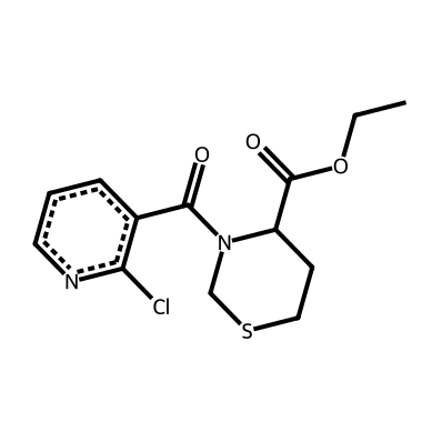 CCOC(=O)C1CCSCN1C(=O)c1cccnc1Cl